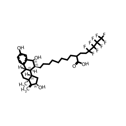 C=C1[C@H](O)C[C@H]2[C@@H]3[C@H](CCCCCCCCC(CCC(F)(F)C(F)(F)C(F)(F)C(F)(F)F)C(=O)O)[C@H](O)c4cc(O)ccc4[C@H]3CC[C@]12C